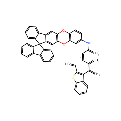 C=Cc1sc2ccccc2c1C(=C)C(=C)/C=C\C(=C)Nc1ccc2c(c1)Oc1cc3c(cc1O2)-c1ccccc1C31c2ccccc2-c2ccccc21